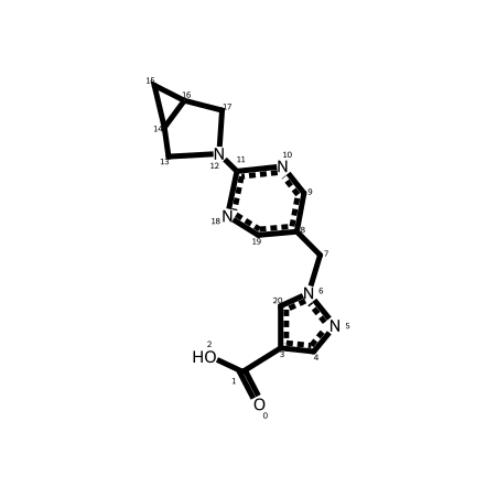 O=C(O)c1cnn(Cc2cnc(N3CC4CC4C3)nc2)c1